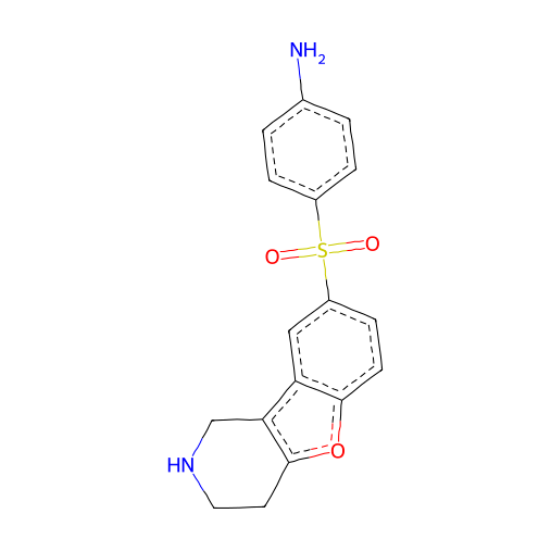 Nc1ccc(S(=O)(=O)c2ccc3oc4c(c3c2)CNCC4)cc1